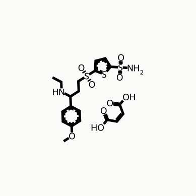 CCNC(CCS(=O)(=O)c1ccc(S(N)(=O)=O)s1)c1ccc(OC)cc1.O=C(O)/C=C\C(=O)O